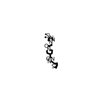 C[Si](C)(C)c1cn(CC(=O)N2CCC(c3nc(-c4cccs4)no3)CC2)nn1